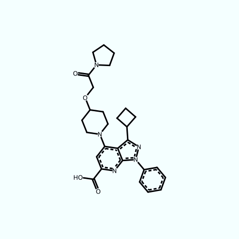 O=C(O)c1cc(N2CCC(OCC(=O)N3CCCC3)CC2)c2c(C3CCC3)nn(-c3ccccc3)c2n1